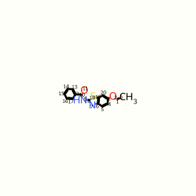 CCOc1ccc2nc(NC(=O)c3ccccc3)sc2c1